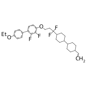 C=CC1CCC(C2CCC(C(F)(F)CCOc3ccc(-c4ccc(OCC)cc4)c(F)c3F)CC2)CC1